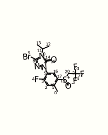 Cc1cc(F)c(-n2nc(Br)n(C(C)C)c2=O)cc1[S+]([O-])CC(F)(F)F